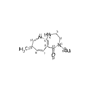 CCC(C)N1CCNC2=C(C=CC(C)C=N2)C1=O